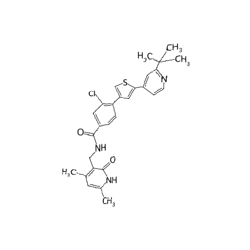 Cc1cc(C)c(CNC(=O)c2ccc(-c3csc(-c4ccnc(C(C)(C)C)c4)c3)c(Cl)c2)c(=O)[nH]1